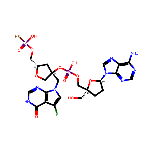 Nc1ncnc2c1ncn2[C@H]1CC[C@@](CO)(COP(=O)(O)O[C@]2(Cn3cc(F)c4c(=O)[nH]cnc43)CO[C@H](COP(=O)(O)S)C2)O1